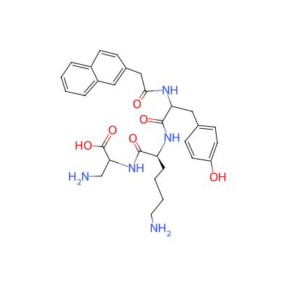 NCCCC[C@H](NC(=O)C(Cc1ccc(O)cc1)NC(=O)Cc1ccc2ccccc2c1)C(=O)NC(CN)C(=O)O